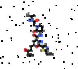 C=C(CC)NC(=O)Cn1cccc(NC(=O)C(CC/C=C/C(=O)OC)NC(=O)c2cnc(NC(C)=O)s2)c1=O